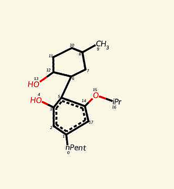 CCCCCc1cc(O)c(C2CC(C)CCC2O)c(OC(C)C)c1